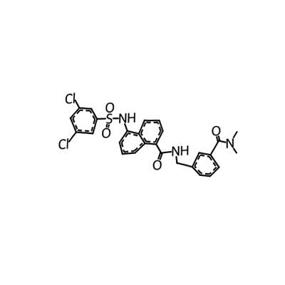 CN(C)C(=O)c1cccc(CNC(=O)c2cccc3c(NS(=O)(=O)c4cc(Cl)cc(Cl)c4)cccc23)c1